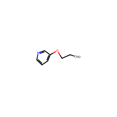 O=CCCOc1cccnc1